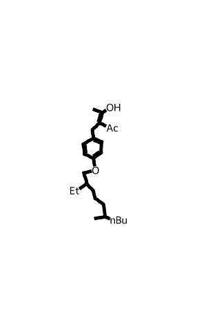 CCCCC(C)CCCC(CC)COc1ccc(C/C(C(C)=O)=C(\C)O)cc1